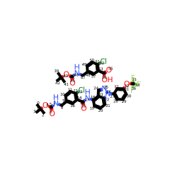 CC(C)(C)OC(=O)NCc1ccc(Cl)c(C(=O)Nc2cccc3c2cnn3-c2cccc(OC(F)(F)F)c2)c1.CC(C)(C)OC(=O)NCc1ccc(Cl)c(C(=O)O)c1